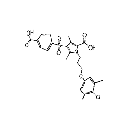 Cc1cc(OCCCn2c(C)c(S(=O)(=O)c3ccc(C(=O)O)cc3)c(C)c2C(=O)O)cc(C)c1Cl